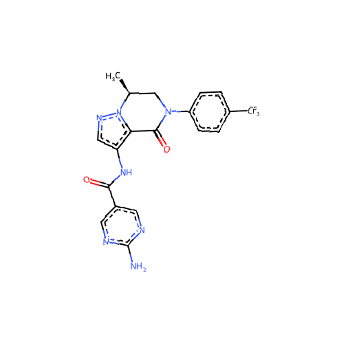 C[C@H]1CN(c2ccc(C(F)(F)F)cc2)C(=O)c2c(NC(=O)c3cnc(N)nc3)cnn21